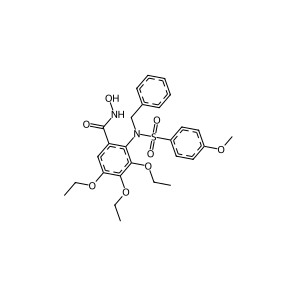 CCOc1cc(C(=O)NO)c(N(Cc2ccccc2)S(=O)(=O)c2ccc(OC)cc2)c(OCC)c1OCC